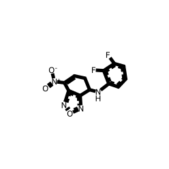 O=[N+]([O-])C1=CCC(Nc2cccc(F)c2F)c2nonc21